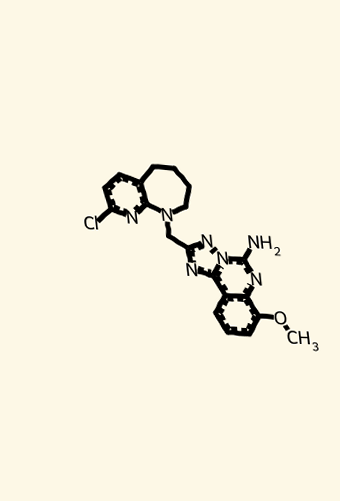 COc1cccc2c1nc(N)n1nc(CN3CCCCc4ccc(Cl)nc43)nc21